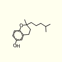 CC(C)CCCC1(C)CCc2cc(O)ccc2O1